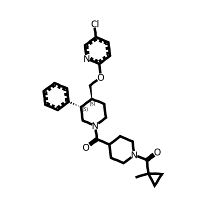 CC1(C(=O)N2CCC(C(=O)N3CC[C@H](COc4ccc(Cl)cn4)[C@@H](c4ccccc4)C3)CC2)CC1